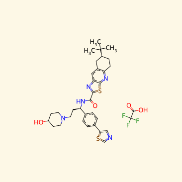 CC(C)(C)[C@H]1CCc2nc3sc(C(=O)N[C@H](CCN4CCC(O)CC4)c4ccc(-c5cncs5)cc4)nc3cc2C1.O=C(O)C(F)(F)F